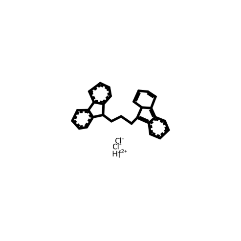 C1=CC2=c3ccccc3=C(CCCC3c4ccccc4-c4ccccc43)C2C=C1.[Cl-].[Cl-].[Hf+2]